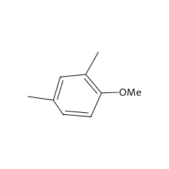 [CH]Oc1ccc(C)cc1C